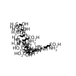 CC(C)C(O)[C@@](N)(O)C(=O)O.CC(C)C(O)[C@@](N)(O)C(=O)O.CC(C)CC(=O)[O-].CC(N)=O.CC(N)=O.CCCC(=O)[O-].C[N+](C)(C)CCO.C[N+](C)(C)CCO.N=C(N)NCCC[C@H](N)C(=O)O.N=C(N)NCCC[C@H](N)C(=O)O